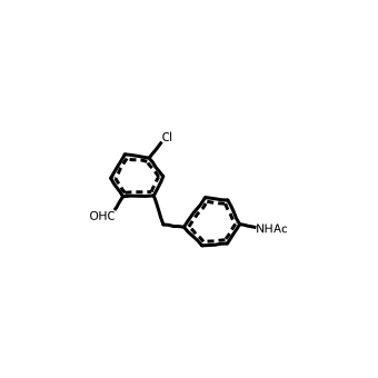 CC(=O)Nc1ccc(Cc2cc(Cl)ccc2C=O)cc1